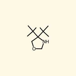 CC(C)(C)C1(C(C)(C)C)COCN1